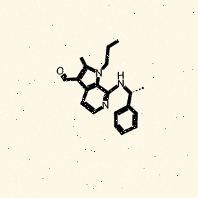 CCCn1c(C)c(C=O)c2ccnc(N[C@H](C)c3ccccc3)c21